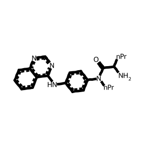 CCCC(N)C(=O)N(CCC)c1ccc(Nc2ncnc3ccccc23)cc1